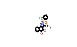 Cc1c2c(nn1S(=O)(=O)c1ccccc1Cl)-c1ccccc1C(=O)C2=O